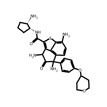 Nc1ccc2c3c(c(C(=O)N[C@@H]4CCC[C@@H]4N)sc13)C(N)C(=O)C2(N)c1ccc(OC2CCOCC2)cc1